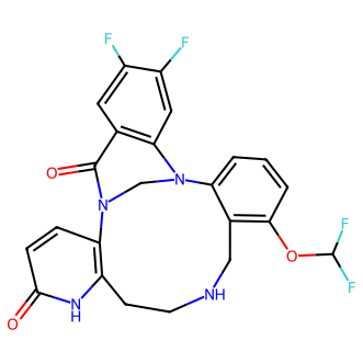 O=C1c2cc(F)c(F)cc2N2CN1c1ccc(=O)[nH]c1CCNCc1c(OC(F)F)cccc12